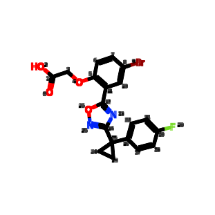 O=C(O)COc1ccc(Br)cc1-c1nc(C2(c3ccc(F)cc3)CC2)no1